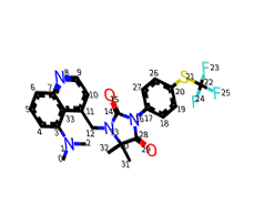 CN(C)c1cccc2nccc(CN3C(=O)N(c4ccc(SC(F)(F)F)cc4)C(=O)C3(C)C)c12